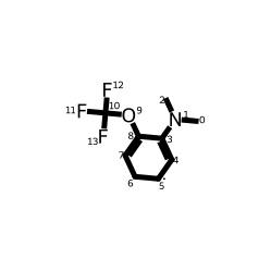 CN(C)C1=C[CH]CC=C1OC(F)(F)F